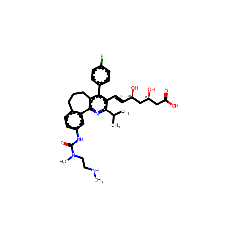 CNCCN(C)C(=O)Nc1ccc2c(c1)-c1nc(C(C)C)c(/C=C/[C@@H](O)C[C@@H](O)CC(=O)O)c(-c3ccc(F)cc3)c1CCC2